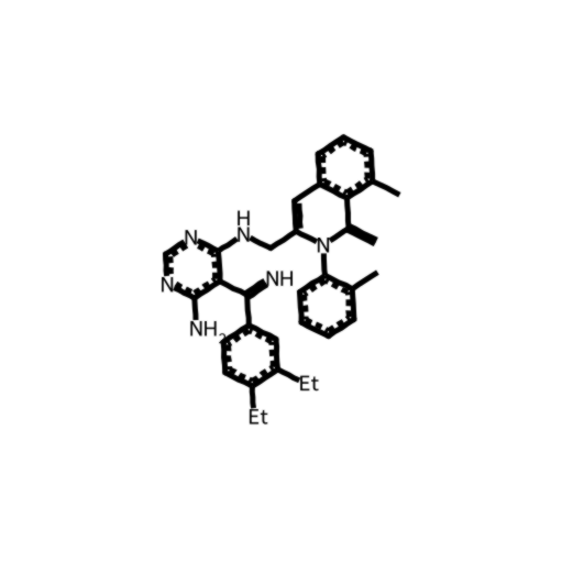 C=C1c2c(C)cccc2C=C(CNc2ncnc(N)c2C(=N)c2ccc(CC)c(CC)c2)N1c1ccccc1C